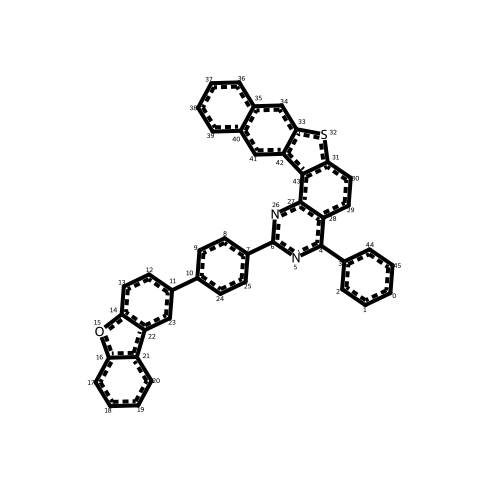 c1ccc(-c2nc(-c3ccc(-c4ccc5oc6ccccc6c5c4)cc3)nc3c2ccc2sc4cc5ccccc5cc4c23)cc1